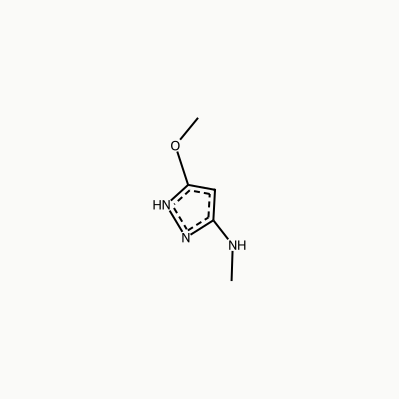 CNc1cc(OC)[nH]n1